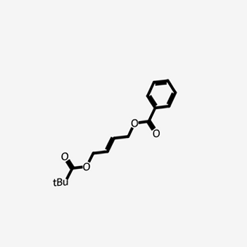 CC(C)(C)C(=O)OC/C=C/COC(=O)c1ccccc1